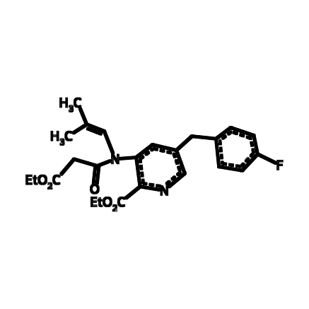 CCOC(=O)CC(=O)N(C=C(C)C)c1cc(Cc2ccc(F)cc2)cnc1C(=O)OCC